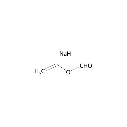 C=COC=O.[NaH]